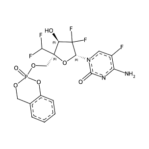 Nc1nc(=O)n([C@@H]2O[C@@](COP3(=O)OCc4ccccc4O3)(C(F)F)[C@@H](O)C2(F)F)cc1F